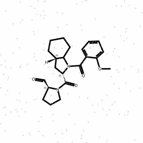 COc1ccccc1C(=O)N1C2CCCC[C@H]2C[C@H]1C(=O)N1CCC[C@H]1C=O